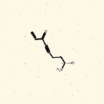 C=CC(=O)C#CCC[C@@H](N)CC